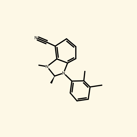 Cc1cccc(N2c3cccc(C#N)c3N(C)[C@@H]2C)c1C